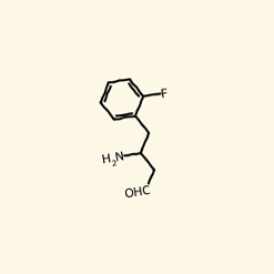 NC(CC=O)Cc1ccccc1F